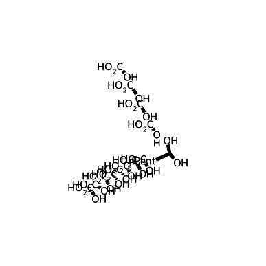 CCCCCC(O)O.O=C(O)O.O=C(O)O.O=C(O)O.O=C(O)O.O=C(O)O.O=C(O)O.O=C(O)O.O=C(O)O.O=C(O)O.O=C(O)O.O=C(O)O.O=C(O)O